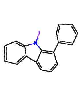 In1c2ccccc2c2cccc(-c3ccccc3)c21